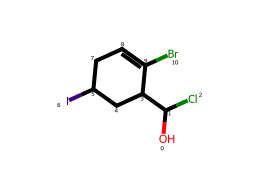 OC(Cl)C1CC(I)CC=C1Br